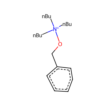 CCCC[N+](CCCC)(CCCC)OCc1ccccc1